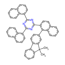 CC1(C)c2ccccc2-c2ccc(-c3c(-c4nc(-c5cccc6ccccc56)nc(-c5cccc6ccccc56)n4)ccc4ccccc34)cc21